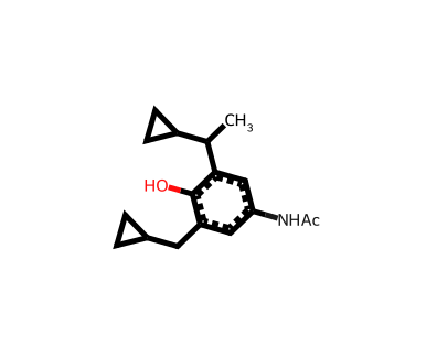 CC(=O)Nc1cc(CC2CC2)c(O)c(C(C)C2CC2)c1